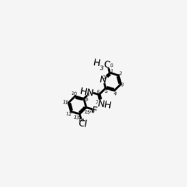 Cc1cccc(C(=N)Nc2cccc(Cl)c2F)n1